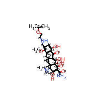 COc1c(CNCCOC(C)C)cc(O)c2c1C[C@H]1C[C@H]3[C@H](N(C)C)C(O)=C(C(N)=O)C(=O)[C@@]3(O)C(O)=C1C2=O